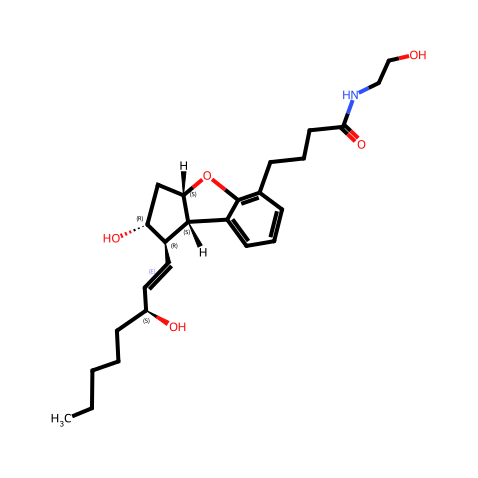 CCCCC[C@H](O)/C=C/[C@@H]1[C@H]2c3cccc(CCCC(=O)NCCO)c3O[C@H]2C[C@H]1O